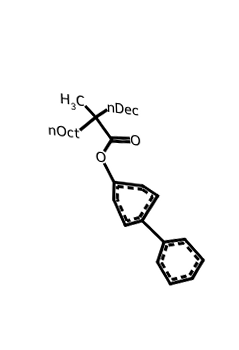 CCCCCCCCCCC(C)(CCCCCCCC)C(=O)Oc1ccc(-c2ccccc2)cc1